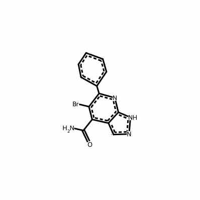 NC(=O)c1c(Br)c(-c2ccccc2)nc2[nH]n[c]c12